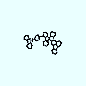 c1ccc2c(c1)-c1cccc3c4c(cc-2c13)C1(c2ccccc2-c2c(-c3ccc(-n5c6ccccc6c6ccccc65)cc3)cccc21)c1ccccc1-4